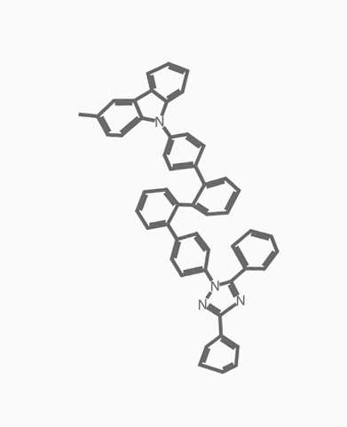 Cc1ccc2c(c1)c1ccccc1n2-c1ccc(-c2ccccc2-c2ccccc2-c2ccc(-n3nc(-c4ccccc4)nc3-c3ccccc3)cc2)cc1